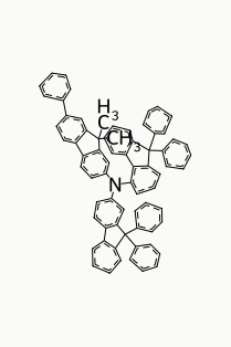 CC1(C)c2cc(-c3ccccc3)ccc2-c2ccc(N(c3ccc4c(c3)C(c3ccccc3)(c3ccccc3)c3ccccc3-4)c3cccc4c3-c3ccccc3C4(c3ccccc3)c3ccccc3)cc21